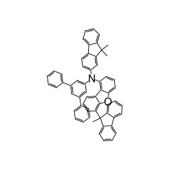 CC1(C)c2ccccc2-c2ccc(N(c3cc(-c4ccccc4)cc(-c4ccccc4)c3)c3cccc4oc5c(C6(C)c7ccccc7-c7ccccc76)cccc5c34)cc21